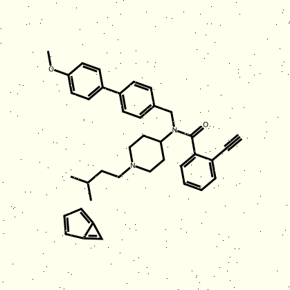 C#Cc1ccccc1C(=O)N(Cc1ccc(-c2ccc(OC)cc2)cc1)C1CCN(CCC(C)C)CC1.c1cc2cc-2c1